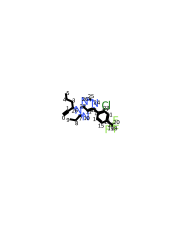 C#CC(CCC)n1c(CC)nc2c(-c3ccc(C(F)(F)F)cc3Cl)ncnc21